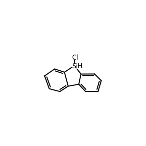 Cl[SiH]1c2ccccc2-c2ccccc21